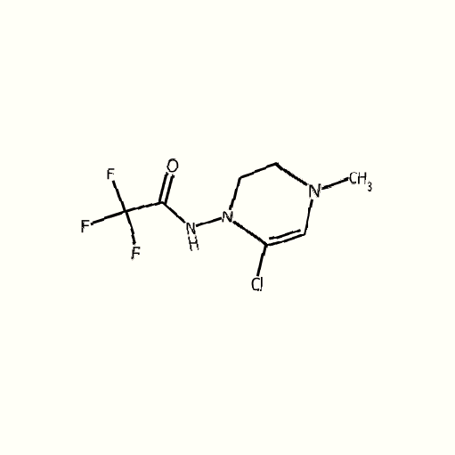 CN1C=C(Cl)N(NC(=O)C(F)(F)F)CC1